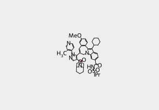 COc1ccc2c(c1)C=C(c1c(C(=O)N3C4CCCC3COC4)cnn1-c1ccncc1C)Cn1c-2c(C2CCCCC2)c2ccc(C(=O)NS(=O)(=O)C(C)C)cc21